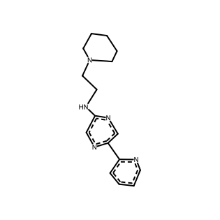 c1ccc(-c2cnc(NCCN3CCCCC3)cn2)nc1